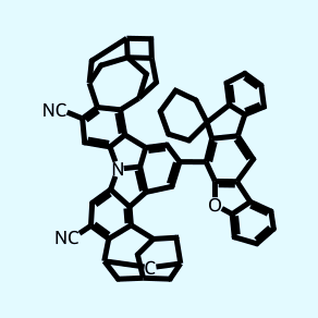 N#Cc1cc2c(c3c1C1CC4CC(C1)CC3C4)c1cc(-c3c4c(cc5c3oc3ccccc35)-c3ccccc3C43CCCCC3)cc3c4c5c(c(C#N)cc4n2c13)C1CC2CC3CC5CC23C1